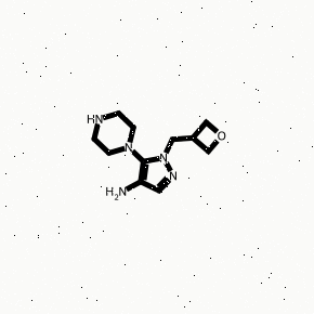 Nc1cnn(CC2COC2)c1N1CCNCC1